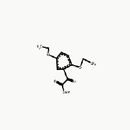 COC(=O)C(=O)c1cc(OCC(F)(F)F)ccc1OCC(F)(F)F